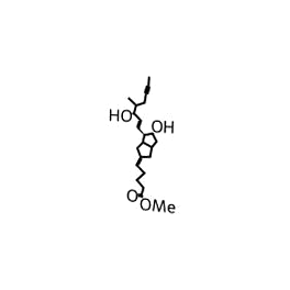 CC#CCC(C)[C@H](O)/C=C/[C@H]1C(O)CC2C/C(=C\CCCC(=O)OC)CC21